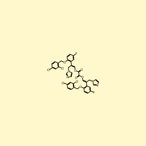 O=C(OC=C(Cn1ccnc1)c1cc(F)ccc1OCc1ccc(Cl)cc1Cl)C(=O)OC=C(Cn1ccnc1)c1cc(F)ccc1OCc1ccc(Cl)cc1Cl